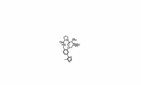 CC(=O)NC(C(=O)N1CCCC1C(=O)NCc1ccc(-c2scnc2C)cc1OCCC(C)C)C(C)(C)C